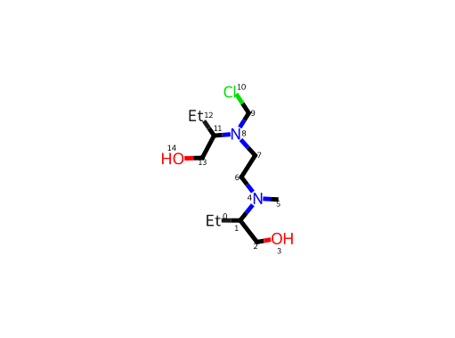 CCC(CO)N(C)CCN(CCl)C(CC)CO